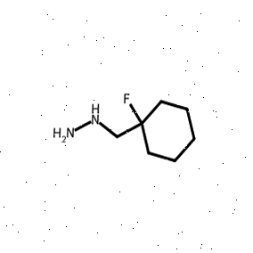 NNCC1(F)CCCCC1